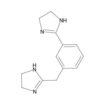 c1cc(CC2=NCCN2)cc(C2=NCCN2)c1